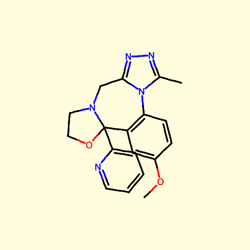 COc1ccc2c(c1)C1(c3ccccn3)OCCN1Cc1nnc(C)n1-2